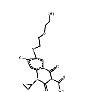 O=C(O)C1C(=O)c2cc(OCCOCCO)c(Cl)cc2N(C2CC2)C1=O